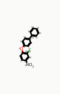 O=[N+]([O-])c1ccc(Oc2ccc(-c3ccccc3)cc2)c(F)c1